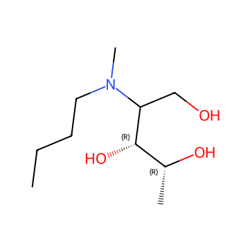 CCCCN(C)C(CO)[C@@H](O)[C@@H](C)O